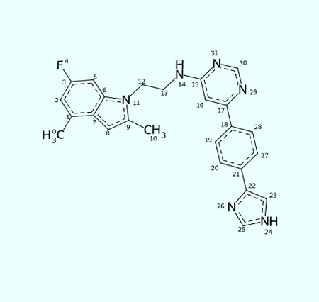 Cc1cc(F)cc2c1cc(C)n2CCNc1cc(-c2ccc(-c3c[nH]cn3)cc2)ncn1